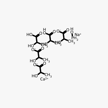 CC(O)C(=O)O.CC(O)C(=O)O.CC(O)C(=O)[O-].CC(O)C(=O)[O-].CC(O)C(=O)[O-].OP.[Ca+2].[Na+]